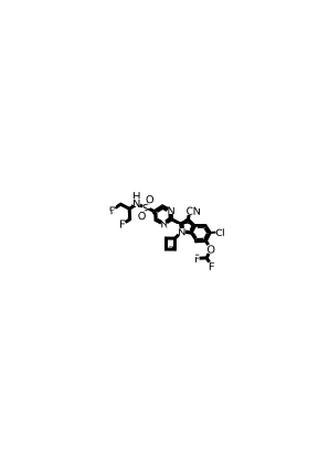 N#Cc1c(-c2ncc(S(=O)(=O)NC(CF)CF)cn2)n(C2CCC2)c2cc(OC(F)F)c(Cl)cc12